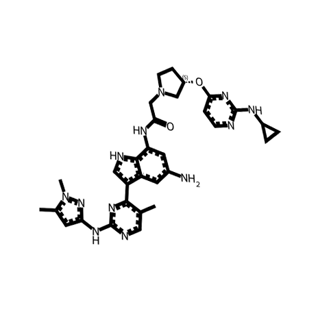 Cc1cnc(Nc2cc(C)n(C)n2)nc1-c1c[nH]c2c(NC(=O)CN3CC[C@H](Oc4ccnc(NC5CC5)n4)C3)cc(N)cc12